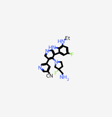 CCNc1cc(F)cc2c1[nH]c1ncc(-c3cncc(C#N)c3)c(N3CC[C@](F)(CN)C3)c12